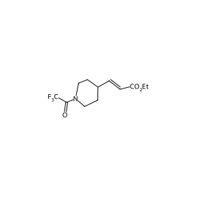 CCOC(=O)/C=C/C1CCN(C(=O)C(F)(F)F)CC1